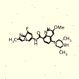 COc1cc2c(N3C[C@@H](C)N[C@@H](C)C3)ccc(C(=O)Nc3cc(F)c4nc(C)cn4c3)c2nn1